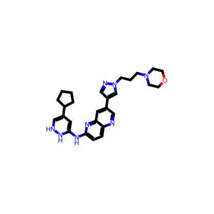 C1=C(Nc2ccc3ncc(-c4cnn(CCCN5CCOCC5)c4)cc3n2)NNC=C1C1CCCC1